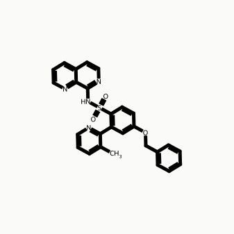 Cc1cccnc1-c1cc(OCc2ccccc2)ccc1S(=O)(=O)Nc1nccc2cccnc12